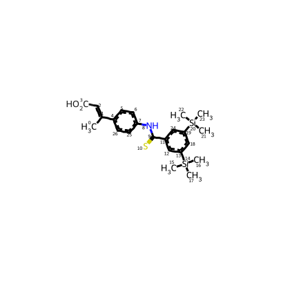 C/C(=C\C(=O)O)c1ccc(NC(=S)c2cc([Si](C)(C)C)cc([Si](C)(C)C)c2)cc1